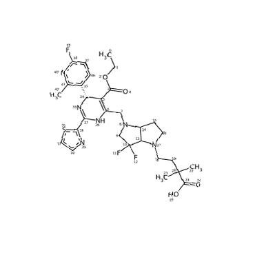 CCOC(=O)C1=C(CN2CC(F)(F)C3C2CCN3CCC(C)(C)C(=O)O)NC(c2nccs2)=N[C@@H]1c1ccc(F)nc1C